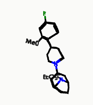 CCOC(=O)N1C2CCC1CC(N1CCC(c3ccc(F)cc3OC)CC1)C2